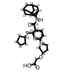 O=C(O)COC1CCN(c2ccc(C(=O)NC3C4CC5CC(C4)CC3C5)c(SC3CCCC3)n2)C1